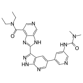 CCN(CC)C(=O)c1cncc2[nH]c(-c3n[nH]c4ncc(-c5cncc(NC(=O)N(C)C)c5)cc34)nc12